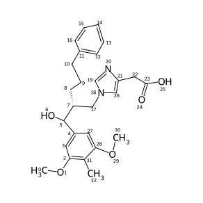 COc1cc(C(O)[C@H](CCCc2ccccc2)Cn2cnc(CC(=O)O)c2)cc(OC)c1C